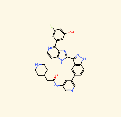 O=C(CC1CCNCC1)Nc1cncc(-c2ccc3[nH]nc(-c4nc5c(-c6cc(O)cc(F)c6)nccc5[nH]4)c3c2)c1